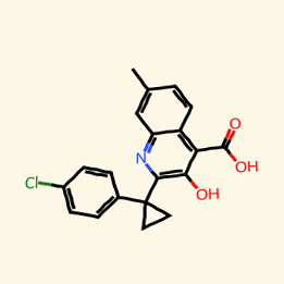 Cc1ccc2c(C(=O)O)c(O)c(C3(c4ccc(Cl)cc4)CC3)nc2c1